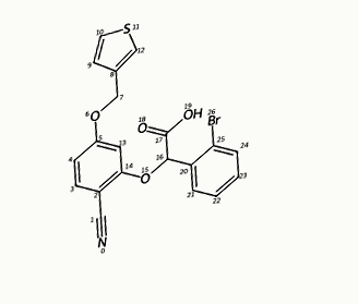 N#Cc1ccc(OCc2ccsc2)cc1OC(C(=O)O)c1ccccc1Br